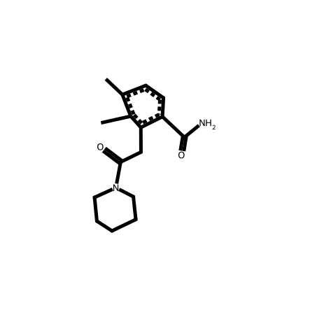 Cc1ccc(C(N)=O)c(CC(=O)N2CCCCC2)c1C